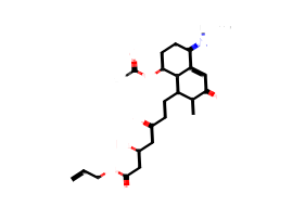 C=CCOC(=O)CC(O)CC(=O)CCC1C(C)C(=O)C=C2C(=NCCCCCC)CCC(OC(=O)C(C)CC)C21